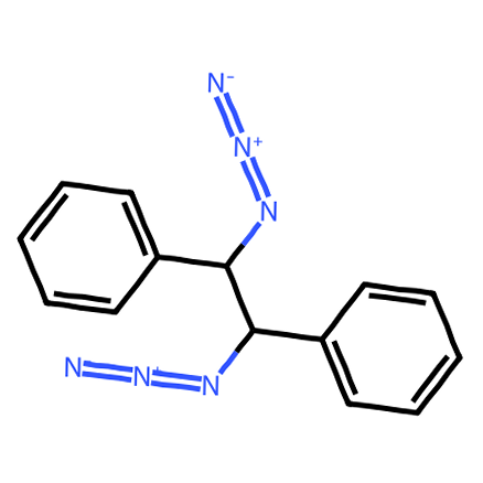 [N-]=[N+]=NC(c1ccccc1)C(N=[N+]=[N-])c1ccccc1